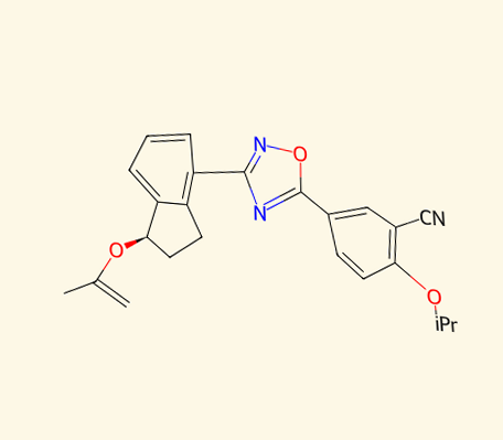 C=C(C)O[C@@H]1CCc2c(-c3noc(-c4ccc(OC(C)C)c(C#N)c4)n3)cccc21